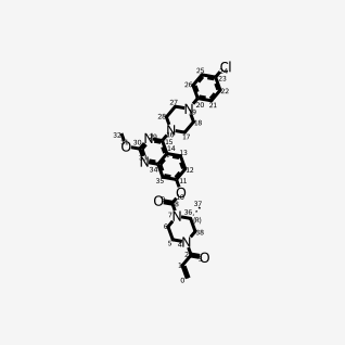 C=CC(=O)N1CCN(C(=O)Oc2ccc3c(N4CCN(c5ccc(Cl)cc5)CC4)nc(OC)nc3c2)[C@H](C)C1